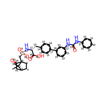 CC1(C)C2CCC1(CS(=O)(=O)N[C@H](Cc1ccc(-c3cccc(NC(=O)Nc4ccccc4)c3)cc1)C(=O)O)C(=O)C2